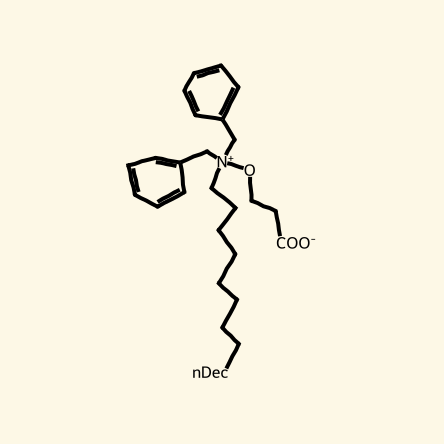 CCCCCCCCCCCCCCCCCC[N+](Cc1ccccc1)(Cc1ccccc1)OCCC(=O)[O-]